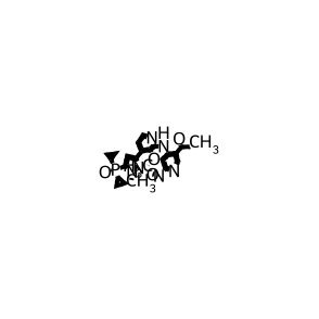 CCC(=O)c1cnc(N=O)cc1Nc1nccc(-c2cc(P(=O)(C3CC3)C3CC3)n(C)n2)c1OC